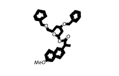 COc1ccc2cc(C(C)C(=O)OC3CC(OCc4ccccc4)CC(COCc4ccccc4)O3)ccc2c1